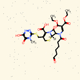 CCOC(=O)C(=CN(C(=O)CCCCC=O)C1C(=O)N2C(C(=O)O)=C(CSc3nnc(O)c(=O)n3C)CS[C@@H]12)C(=O)OCC